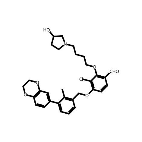 Cc1c(COc2ccc(C=O)c(OCCCCN3CCC(O)C3)c2Cl)cccc1-c1ccc2c(c1)OCCO2